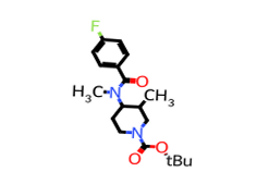 CC1CN(C(=O)OC(C)(C)C)CCC1N(C)C(=O)c1ccc(F)cc1